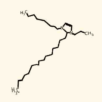 CCCCCCCCCCCCCCCC1N(CCC)C=CN1CCCCCCCC